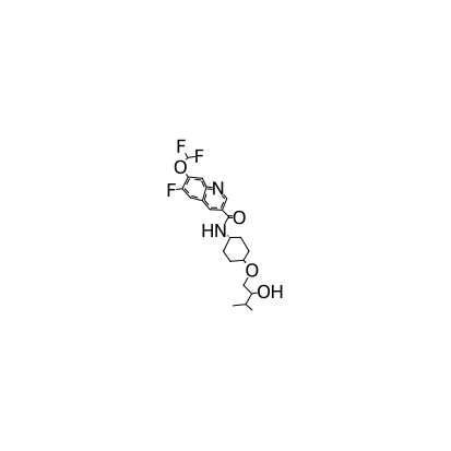 CC(C)C(O)CO[C@H]1CC[C@H](NC(=O)c2cnc3cc(OC(F)F)c(F)cc3c2)CC1